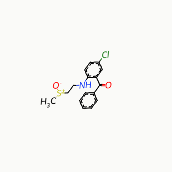 C[S+]([O-])CCNc1ccc(Cl)cc1C(=O)c1ccccc1